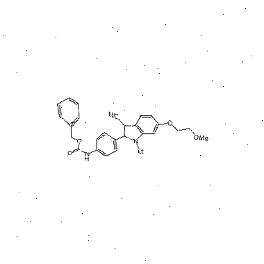 CCN1c2cc(OCCOC)ccc2C(C#N)C1c1ccc(NC(=O)OCc2ccccc2)cc1